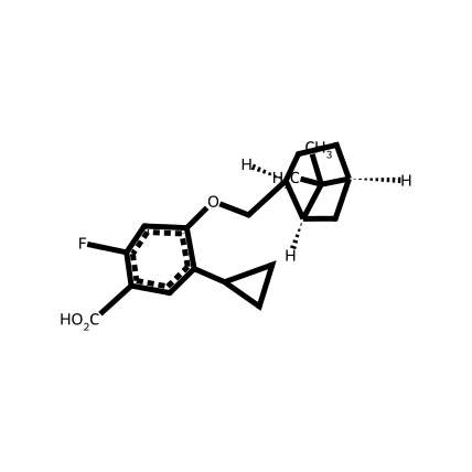 CC1(C)[C@H]2CC[C@H](COc3cc(F)c(C(=O)O)cc3C3CC3)[C@@H]1C2